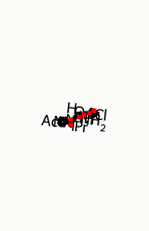 CC(=O)N1CCC(N(CC(C)C)NCCNC(=O)[C@H](N)Cc2ccc(Cl)cc2)CC1